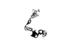 Cc1c(-c2ccc3c(c2)OCCO3)cccc1-c1ccn2c(-c3ccc(CNCC(O)CC(=O)O)cc3)cnc2c1